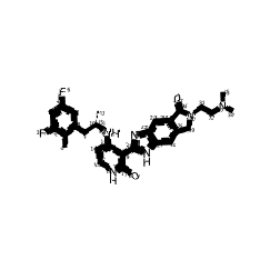 Cc1c(F)cc(F)cc1C[C@H](C)Nc1cc[nH]c(=O)c1-c1nc2cc3c(cc2[nH]1)CN(CCN(C)C)C3=O